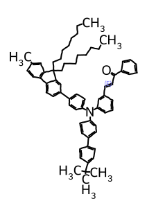 CCCCCCCCC1(CCCCCCCC)c2cc(C)ccc2-c2ccc(-c3ccc(N(c4ccc(-c5ccc(C(C)(C)C)cc5)cc4)c4cccc(/C=C/C(=O)c5ccccc5)c4)cc3)cc21